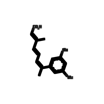 C/C(=C/C=C/C(C)=C/C(=O)O)c1cc(C(C)(C)C)cc(C(C)(C)C)c1